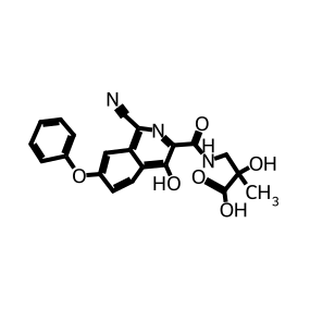 CC(O)(CNC(=O)c1nc(C#N)c2cc(Oc3ccccc3)ccc2c1O)C(=O)O